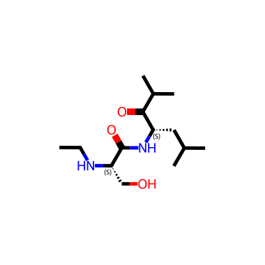 CCN[C@@H](CO)C(=O)N[C@@H](CC(C)C)C(=O)C(C)C